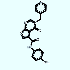 Nc1ccc(NC(=O)c2csc3ncn(Cc4ccncc4)c(=O)c23)cc1